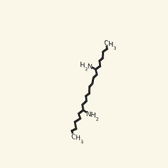 CCCCCCC(N)CCCCCCCCC(N)CCCCCC